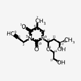 C#CCn1c(=O)c(C)cn(C(C[C@@H](C)O)OCCO)c1=O